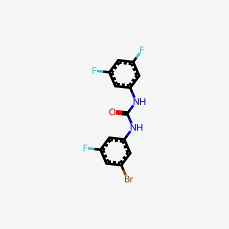 O=C(Nc1cc(F)cc(F)c1)Nc1cc(F)cc(Br)c1